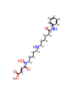 COC(=O)/C=C/C(=O)N(O)CCCCCNCCCCCC(=O)Nc1ccccc1